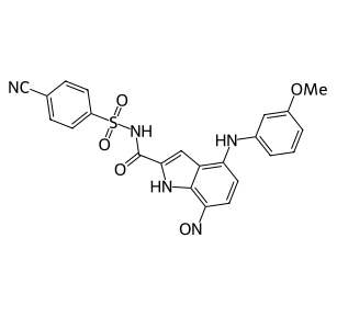 COc1cccc(Nc2ccc(N=O)c3[nH]c(C(=O)NS(=O)(=O)c4ccc(C#N)cc4)cc23)c1